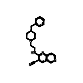 N#Cc1cc2cnccc2nc1NCCN1CCC(Cc2ccccc2)CC1